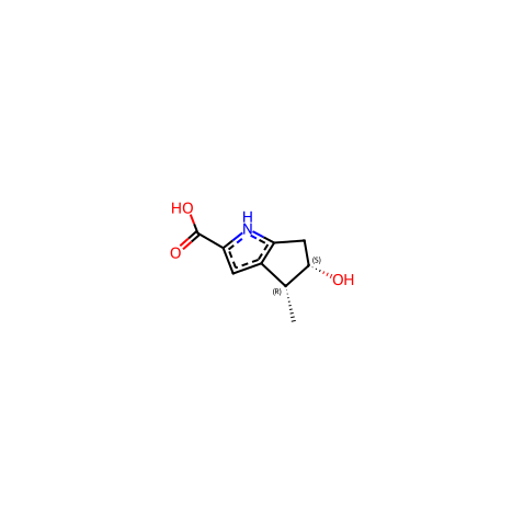 C[C@@H]1c2cc(C(=O)O)[nH]c2C[C@@H]1O